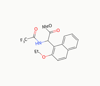 CCOc1ccc2ccccc2c1C(NC(=O)C(F)(F)F)C(=O)OC